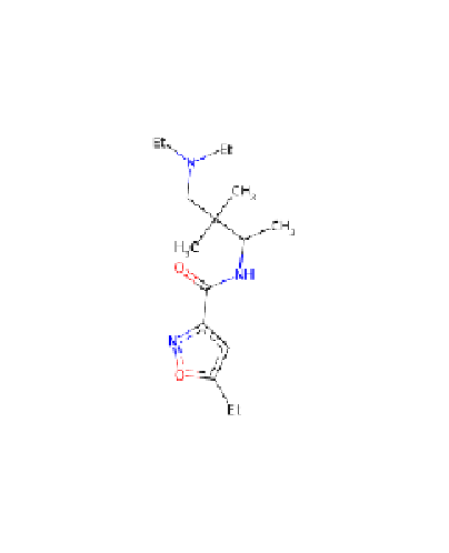 CCc1cc(C(=O)NC(C)C(C)(C)CN(CC)CC)no1